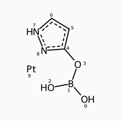 OB(O)Oc1cc[nH]n1.[Pt]